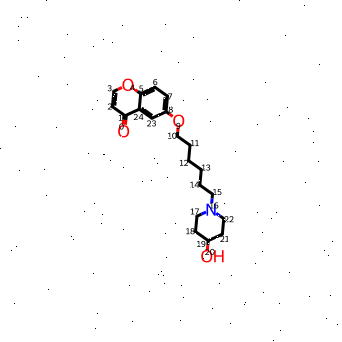 O=c1ccoc2ccc(OCCCCCCN3CCC(O)CC3)cc12